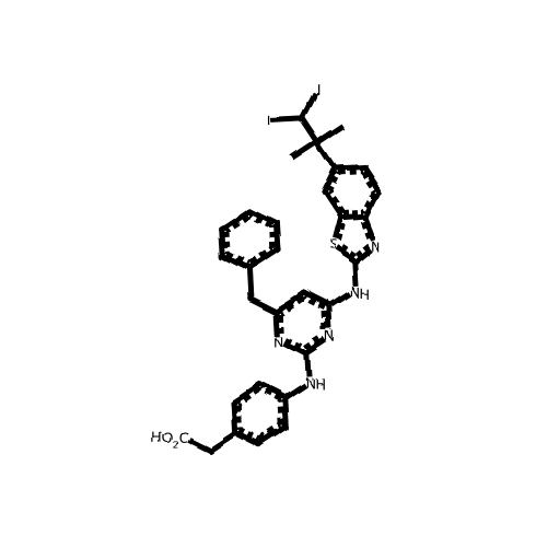 CC(C)(c1ccc2nc(Nc3cc(Cc4ccccc4)nc(Nc4ccc(CC(=O)O)cc4)n3)sc2c1)C(I)I